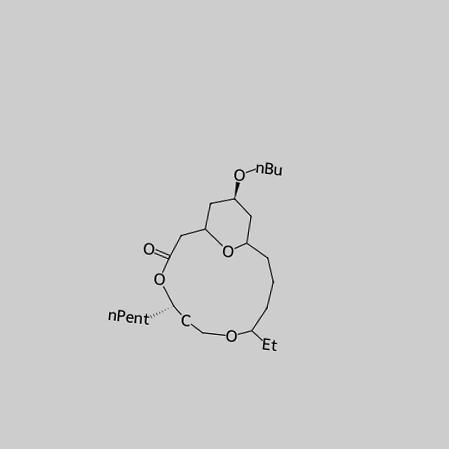 CCCCC[C@H]1CCOC(CC)CCCC2C[C@H](OCCCC)CC(CC(=O)O1)O2